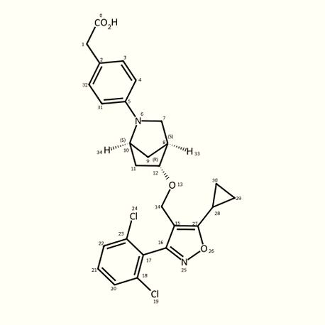 O=C(O)Cc1ccc(N2C[C@@H]3C[C@H]2C[C@H]3OCc2c(-c3c(Cl)cccc3Cl)noc2C2CC2)cc1